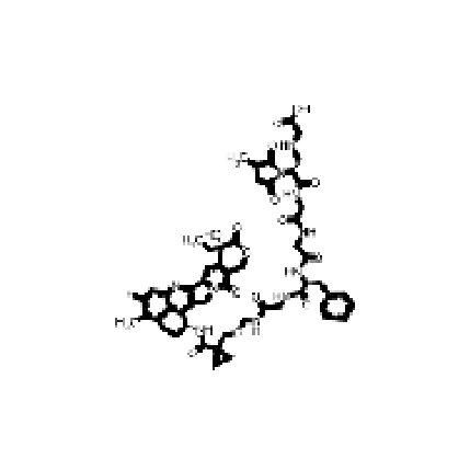 CC[C@@]1(O)C(=O)OCc2c1cc1n(c2=O)Cc2c-1nc1cc(F)c(C)c3c1c2[C@@H](NC(=O)C1(COCNC(=O)CNC(=O)[C@H](Cc2ccccc2)NC(=O)CNC(=O)CNC(=O)[C@@H](CNCC(=O)O)N2C(=O)CC(C)C2=O)CC1)CC3